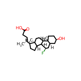 C[C@H](CCC(=O)O)C1CC[C@H]2[C@@H]3[C@H](F)C[C@@H]4C[C@H](O)CC[C@]4(C)[C@H]3CC[C@]12C